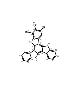 Brc1cc2c(sc3c4c5ccccc5sc4c4c5ccccc5sc4c23)c(Br)c1Br